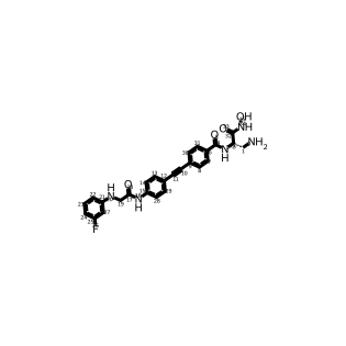 NC[C@H](NC(=O)c1ccc(C#Cc2ccc(NC(=O)CNc3cccc(F)c3)cc2)cc1)C(=O)NO